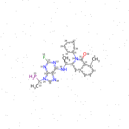 Cc1cccc2cc([C@H](C)Nc3nc(F)nc4c3ncn4C(C)P)n(-c3ccccc3)c(=O)c12